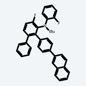 CC(C)(C)N(c1ccccc1F)c1c(F)ccc(-c2ccccc2)c1-c1ccc(-c2ccc3ccccc3c2)cc1